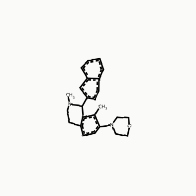 Cc1c(N2CCOCC2)ccc2c1C(c1ccc3ccccc3c1)N(C)CC2